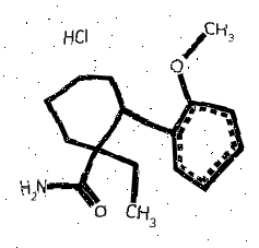 CCC1(C(N)=O)CCCCC1c1ccccc1OC.Cl